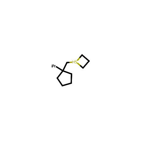 CC(C)C1(C[SH]2CCC2)CCCC1